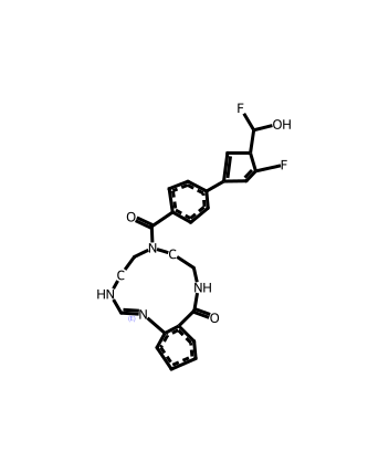 O=C1NCCN(C(=O)c2ccc(C3=CC(C(O)F)C(F)=C3)cc2)CCN/C=N/c2ccccc21